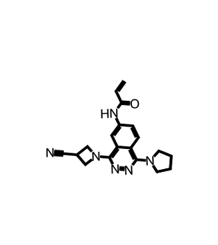 C=CC(=O)Nc1ccc2c(N3CCCC3)nnc(N3CC(C#N)C3)c2c1